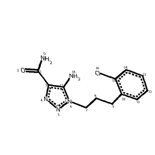 NC(=O)c1nnn(CCCc2ccccc2Cl)c1N